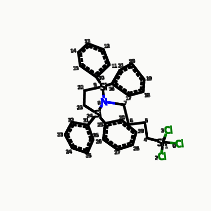 Cl[Si](Cl)(Cl)CCCCN1[Si](c2ccccc2)(c2ccccc2)CC[Si]1(c1ccccc1)c1ccccc1